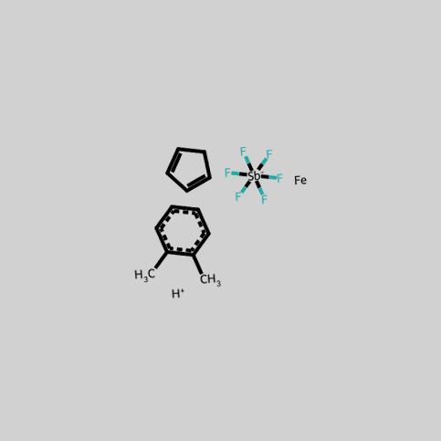 C1=CCC=C1.Cc1ccccc1C.[F][Sb-]([F])([F])([F])([F])[F].[Fe].[H+]